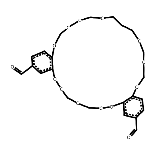 O=Cc1ccc2c(c1)OCCCCCOc1cc(C=O)ccc1OCCCCCCCCCCCCO2